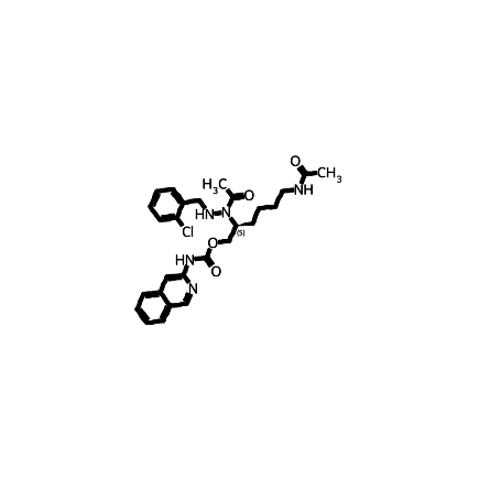 CC(=O)NCCCC[C@@H](COC(=O)Nc1cc2ccccc2cn1)N(NCc1ccccc1Cl)C(C)=O